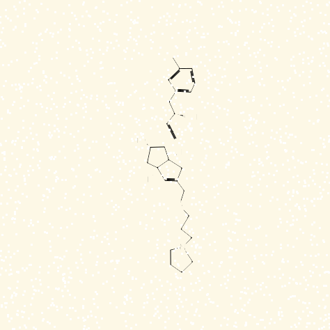 Cc1cccc(C[C@@H](O)/C=C/[C@@H]2[C@H]3CC(COCCCN4CCCC4)=C[C@H]3C[C@H]2O)c1